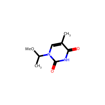 COC(C)n1cc(C)c(=O)[nH]c1=O